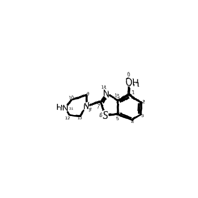 Oc1cccc2sc(N3CCNCC3)nc12